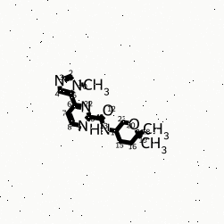 Cn1cncc1-c1ccnc(C(=O)NC2CCC(C)(C)OC2)n1